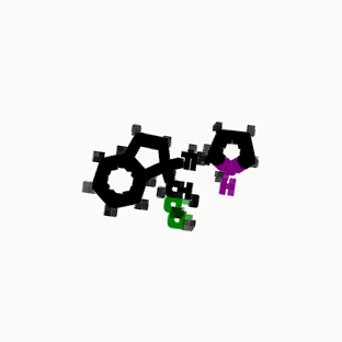 C[C]1([Ti+2][c]2ccc[pH]2)C=Cc2ccccc21.[Cl-].[Cl-]